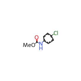 COC(=O)Nc1ccc(Cl)cc1